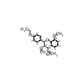 CCOc1ccc(C(Oc2ccccc2OC)C(CNC)OC)cc1